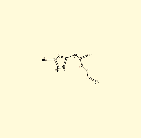 C=CCOC(=O)Nc1cc(C(C)(C)C)[nH]n1